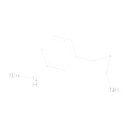 CC(C)(C)Nc1cccc(C2CC2N)c1